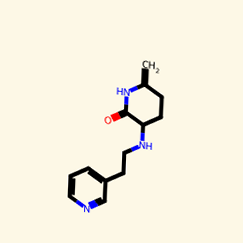 C=C1CCC(NCCc2cccnc2)C(=O)N1